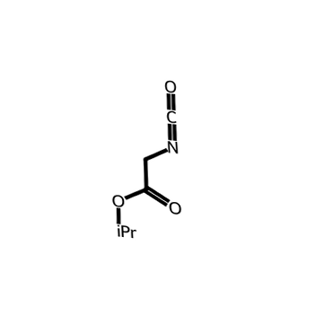 CC(C)OC(=O)CN=C=O